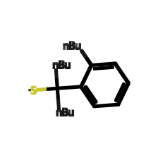 CCCCc1ccccc1C([S])(CCCC)CCCC